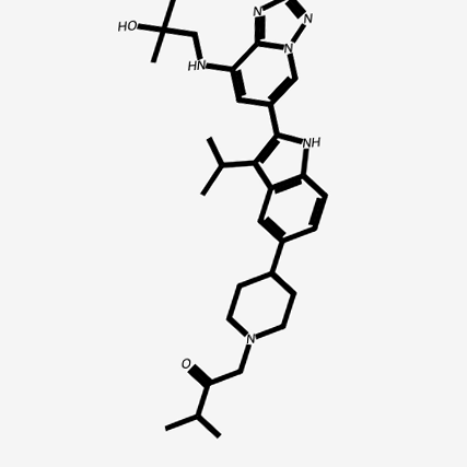 CC(C)C(=O)CN1CCC(c2ccc3[nH]c(-c4cc(NCC(C)(C)O)c5ncnn5c4)c(C(C)C)c3c2)CC1